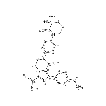 [2H]C1([2H])CCCN(c2ccc(N3CCc4c(C(N)=O)nn(-c5ccc(OC)cc5)c4C3=O)cc2)C1=O